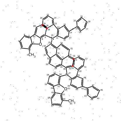 Cc1cccc2c1oc1c(N(c3ccc(-c4ccccc4)cc3-c3ccccc3)c3ccc4ccc5c(N(c6ccc(-c7ccccc7)cc6-c6ccccc6)c6cccc7c6oc6c(C)cccc67)ccc6ccc3c4c65)cccc12